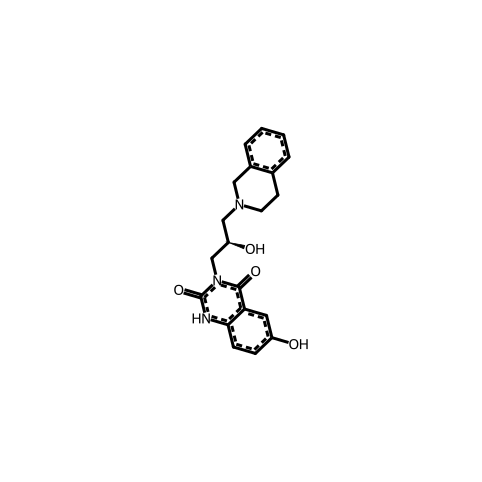 O=c1[nH]c2ccc(O)cc2c(=O)n1C[C@H](O)CN1CCc2ccccc2C1